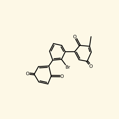 CC1=CC(=O)C=C(c2cccc(C3=CC(=O)C=CC3=O)c2Br)C1=O